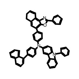 C1=Cc2c(cc(-c3ccc(N(c4ccc(-c5cccc6ccccc56)cc4)c4ccc5c(c4)c4ccccc4n5-c4ccccc4)cc3)c3oc(-c4ccccc4)nc23)CC1